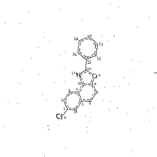 Clc1ccc2c(ccc3oc(-c4ccccc4)nc32)c1